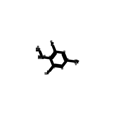 CCNc1c(F)cc(C(C)C)cc1F